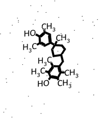 Cc1cc(C2(C)CCC(Cc3c(C)c(C)c(O)c(C)c3C)CC2)cc(C)c1O